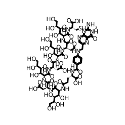 Nc1nc2ncc(CNc3ccc(C(=O)N[C@@H](CCC(=O)N[C@H](C(=O)N[C@@H](CC(=O)O)C(=O)N[C@H](C(=O)N[C@@H](CC(=O)O)C(=O)N[C@H](C(=O)N[C@@H](CC=O)C(=O)N[C@H](C(=O)N[C@@H](CS)C(=O)O)[C@@H](O)[C@H](O)[C@H](O)CO)[C@@H](O)[C@H](O)[C@H](O)CO)[C@@H](O)[C@H](O)[C@H](O)CO)[C@@H](O)[C@H](O)[C@H](O)CO)C(=O)O)cc3)nc2c(=O)[nH]1